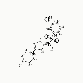 CC1CCN(C2CCC(N(C)S(=O)(=O)c3cccc(Cl)c3)C2)CC1